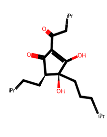 CC(C)CCC[C@@]1(O)C(O)=C(C(=O)CC(C)C)C(=O)[C@@H]1CCC(C)C